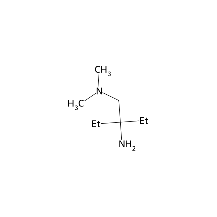 CCC(N)(CC)CN(C)C